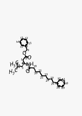 CN(C)C[C@@H](CC(=O)OCc1ccccc1)NC(=O)CCCCCCCCc1cccnc1